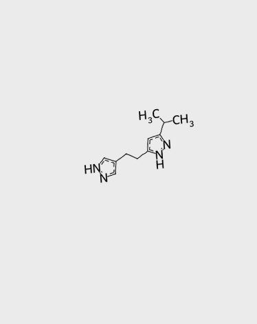 CC(C)c1cc(CCc2cn[nH]c2)[nH]n1